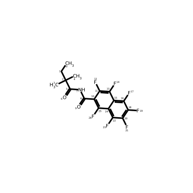 CCC(C)(C)C(=O)NC(=O)c1c(F)c(F)c2c(F)c(F)c(F)c(F)c2c1F